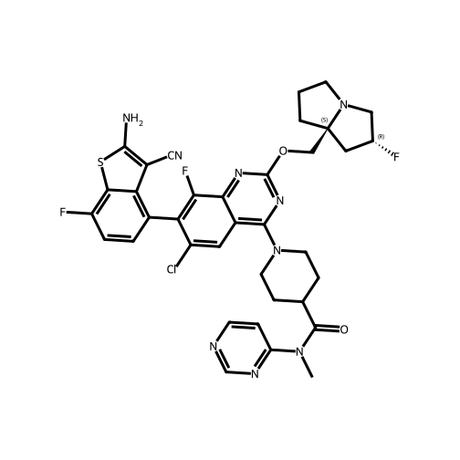 CN(C(=O)C1CCN(c2nc(OC[C@@]34CCCN3C[C@H](F)C4)nc3c(F)c(-c4ccc(F)c5sc(N)c(C#N)c45)c(Cl)cc23)CC1)c1ccncn1